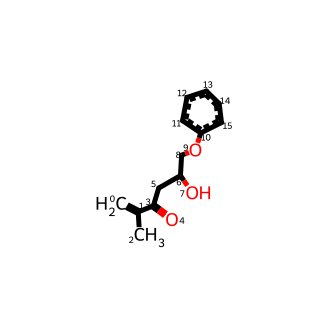 C=C(C)C(=O)CC(O)COc1ccccc1